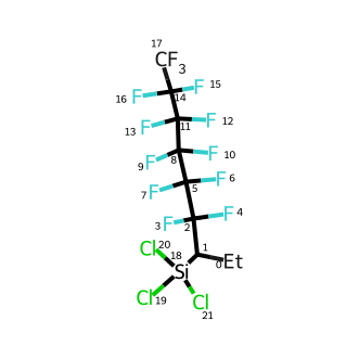 CCC(C(F)(F)C(F)(F)C(F)(F)C(F)(F)C(F)(F)C(F)(F)F)[Si](Cl)(Cl)Cl